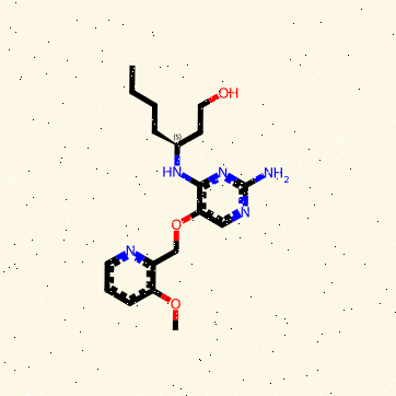 CCCC[C@@H](CCO)Nc1nc(N)ncc1OCc1ncccc1OC